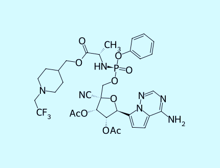 CC(=O)O[C@H]1[C@H](c2ccc3c(N)ncnn23)O[C@](C#N)(CO[P@](=O)(N[C@@H](C)C(=O)OCC2CCN(CC(F)(F)F)CC2)Oc2ccccc2)[C@H]1OC(C)=O